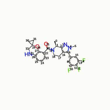 C[C@H]1c2nn(C)c(-c3cc(F)c(F)c(F)c3)c2CCN1C(=O)c1cccc2c1OC1(CC1)CN2